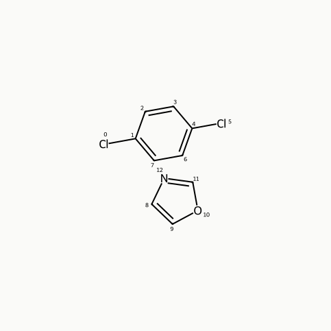 Clc1ccc(Cl)cc1.c1cocn1